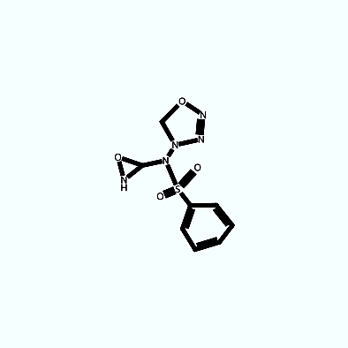 O=S(=O)(c1ccccc1)N(C1NO1)N1CON=N1